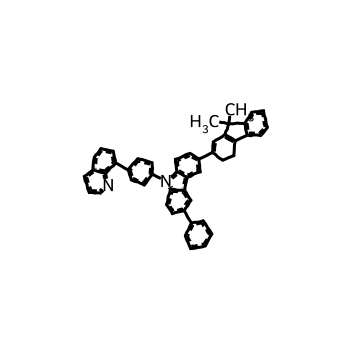 CC1(C)C2=C(CCC(c3ccc4c(c3)c3cc(-c5ccccc5)ccc3n4-c3ccc(-c4cccc5cccnc45)cc3)=C2)c2ccccc21